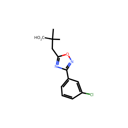 CC(C)(Cc1nc(-c2cccc(Cl)c2)no1)C(=O)O